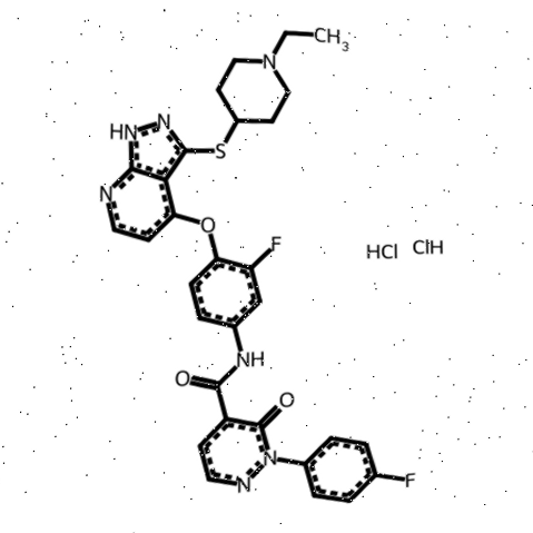 CCN1CCC(Sc2n[nH]c3nccc(Oc4ccc(NC(=O)c5ccnn(-c6ccc(F)cc6)c5=O)cc4F)c23)CC1.Cl.Cl